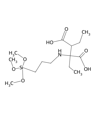 CCC(C(=O)O)C(CC)(NCCC[Si](OC)(OC)OC)C(=O)O